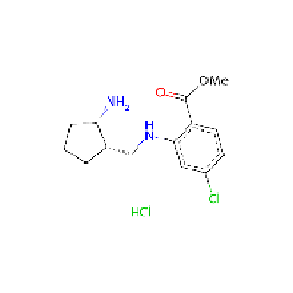 COC(=O)c1ccc(Cl)cc1NC[C@@H]1CCC[C@@H]1N.Cl